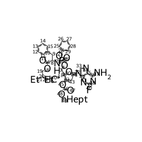 C#C[C@]1(CO[P@@](=O)(NC(Cc2ccccc2)C(=O)OCC(CC)CC)Oc2ccccc2)O[C@@H](n2cnc3c(N)nc(F)nc32)C[C@@H]1OC(=O)OCCCCCCC